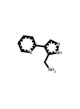 NCc1[nH]ncc1-c1ccccn1